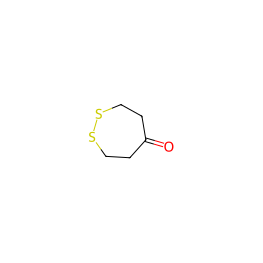 O=C1CCSSCC1